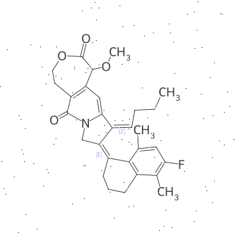 CCC/C=C1/C(=C2/CCCc3c(C)c(F)cc(C)c32)Cn2c1cc1c(c2=O)CCOC(=O)C1OC